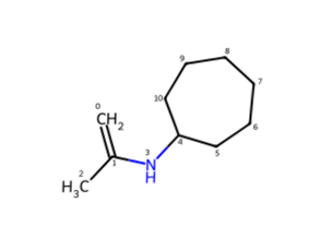 C=C(C)NC1CCCCCC1